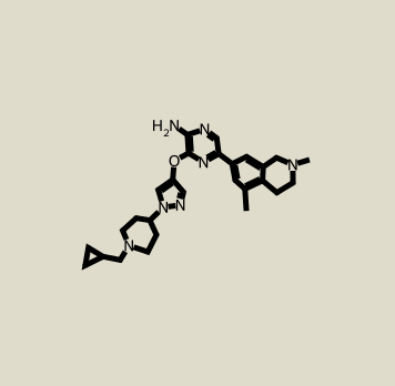 Cc1cc(-c2cnc(N)c(Oc3cnn(C4CCN(CC5CC5)CC4)c3)n2)cc2c1CCN(C)C2